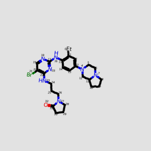 CCc1cc(N2CCN3CCCC3C2)ccc1Nc1ncc(Br)c(NCCCN2CCCC2=O)n1